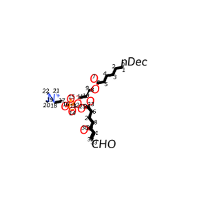 CCCCCCCCCCCCCCCC(=O)OC[C@H](COP(=O)([O-])OCC[N+](C)(C)C)OC(=O)CCCC(=O)C=CC=O